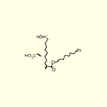 C=C(CCCCCCCCCCCCCCCCCC)C(=O)OCCCCCCCC(C)C.C=CC(=O)O